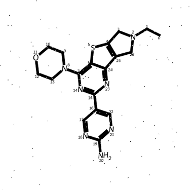 CCN1Cc2sc3c(N4CCOCC4)nc(-c4cnc(N)nc4)nc3c2C1